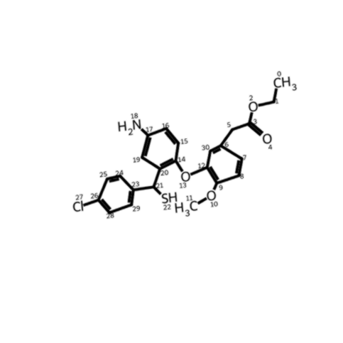 CCOC(=O)Cc1ccc(OC)c(Oc2ccc(N)cc2C(S)c2ccc(Cl)cc2)c1